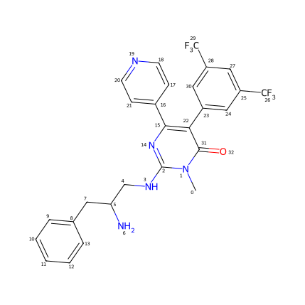 Cn1c(NCC(N)Cc2ccccc2)nc(-c2ccncc2)c(-c2cc(C(F)(F)F)cc(C(F)(F)F)c2)c1=O